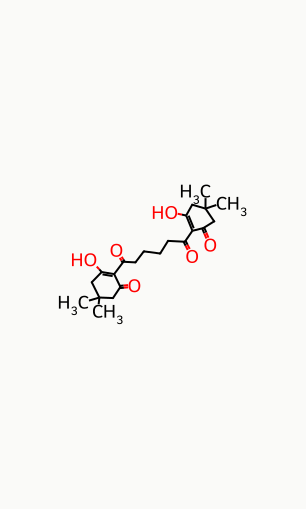 CC1(C)CC(=O)C(C(=O)CCCCC(=O)C2=C(O)CC(C)(C)CC2=O)=C(O)C1